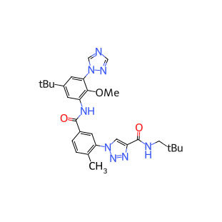 COc1c(NC(=O)c2ccc(C)c(-n3cc(C(=O)NCC(C)(C)C)nn3)c2)cc(C(C)(C)C)cc1-n1cncn1